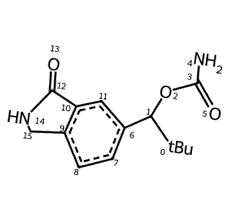 CC(C)(C)C(OC(N)=O)c1ccc2c(c1)C(=O)NC2